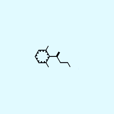 O=C(O)CCC(=O)c1c(Cl)cccc1Cl